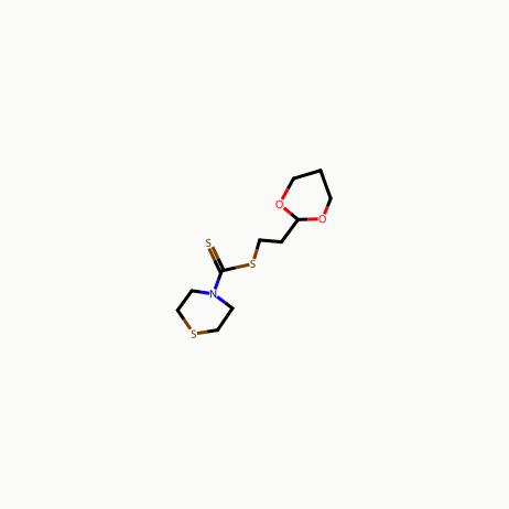 S=C(SCCC1OCCCO1)N1CCSCC1